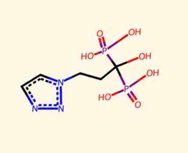 O=P(O)(O)C(O)(CCn1ccnn1)P(=O)(O)O